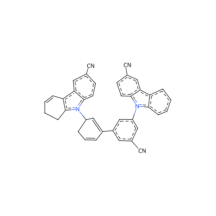 N#Cc1cc(C2=CC(n3c4c(c5cc(C#N)ccc53)C=CCC4)CC=C2)cc(-n2c3ccccc3c3cc(C#N)ccc32)c1